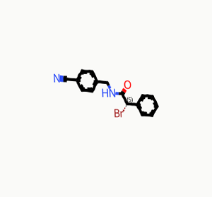 N#Cc1ccc(CNC(=O)[C@@H](Br)c2ccccc2)cc1